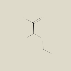 CCOC(F)C(N)=O